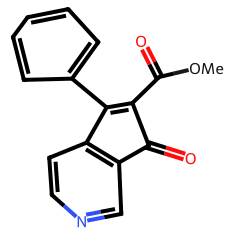 COC(=O)C1=C(c2ccccc2)c2ccncc2C1=O